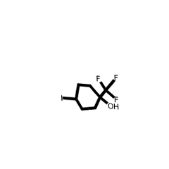 OC1(C(F)(F)F)CCC(I)CC1